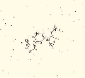 CN(C)CC1CC2CC2N1c1cncc(N2CCCC2=O)c1